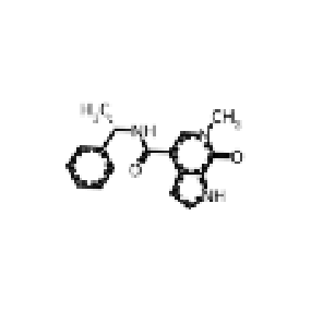 C[C@H](NC(=O)c1cn(C)c(=O)c2[nH]ccc12)c1ccccc1